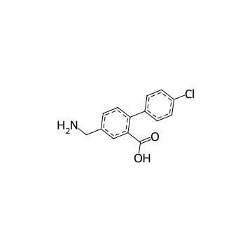 NCc1ccc(-c2ccc(Cl)cc2)c(C(=O)O)c1